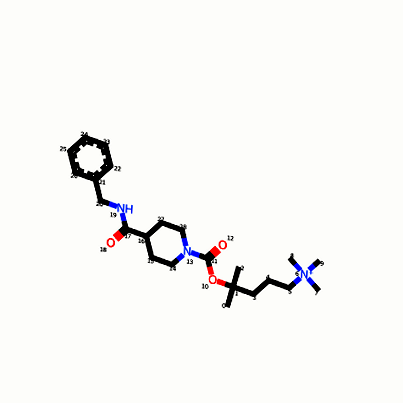 CC(C)(CCC[N+](C)(C)C)OC(=O)N1CCC(C(=O)NCc2ccccc2)CC1